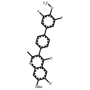 COc1cc2nc(C)c(-c3ccc(-c4cc(F)c(OC(F)(F)F)c(F)c4)cc3)c(Cl)c2cc1Cl